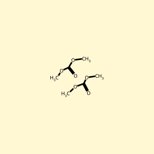 COC(=O)OC.COC(=O)OC